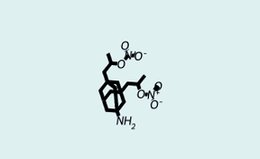 CC(CC12CC3CC(N)(C1)CC(CC(C)O[N+](=O)[O-])(C3)C2)O[N+](=O)[O-]